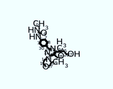 CCNC(=O)Nc1ccc(-c2nc(N3CCOCC3C)c3c(n2)C(C)(CCO)OC3)cc1